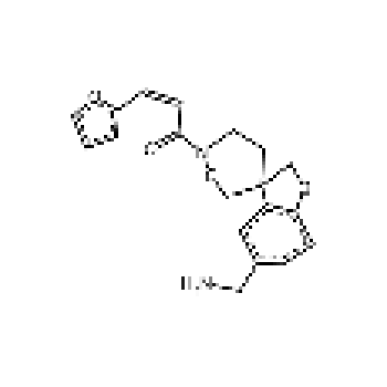 NCc1ccc2c(c1)C1(CCN(C(=O)/C=C\c3ccco3)CC1)CO2